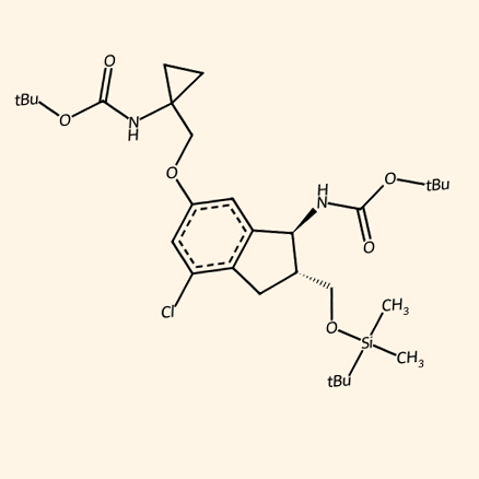 CC(C)(C)OC(=O)N[C@@H]1c2cc(OCC3(NC(=O)OC(C)(C)C)CC3)cc(Cl)c2C[C@H]1CO[Si](C)(C)C(C)(C)C